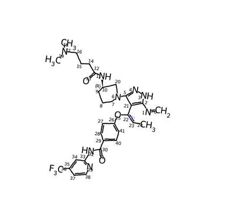 C=Nc1[nH]nc(N2CCC[C@@H](NC(=O)CCCN(C)C)C2)c1/C(=C\C)Oc1ccc(C(=O)Nc2cc(C(F)(F)F)ccn2)cc1